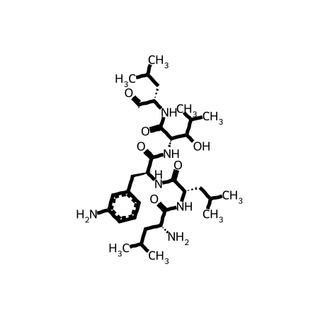 CC(C)C[C@@H]([C]=O)NC(=O)[C@@H](NC(=O)[C@H](Cc1cccc(N)c1)NC(=O)[C@H](CC(C)C)NC(=O)[C@H](N)CC(C)C)C(O)C(C)C